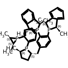 C[C@@H]1CC[C@@H](Cc2ccc(P3[C@H](C)c4ccccc4[C@H]3C)c(P3[C@H](C)c4ccccc4[C@H]3C)c2)P1c1ccccc1P1[C@@H](C)[C@@H]1C